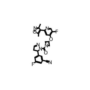 Cc1noc(C)c1-c1cc(OC2CN(C(=O)N3N=CCC3c3cc(F)cc(C#N)c3)C2)c(F)cn1